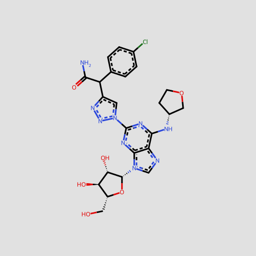 NC(=O)C(c1ccc(Cl)cc1)c1cn(-c2nc(N[C@@H]3CCOC3)c3ncn([C@@H]4O[C@H](CO)[C@@H](O)[C@@H]4O)c3n2)nn1